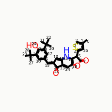 Cc1csc(C2C(=O)OC3=C2NC2=CC(=Cc4cc(C(C)(C)C)c(O)c(C(C)(C)C)c4)C(=O)C2=C3)c1